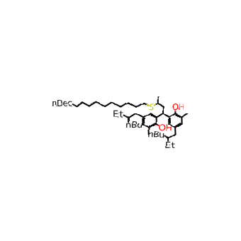 CCCCCCCCCCCCCCCCCCCCSC(C)CC(c1cc(CC(CC)CCCC)cc(C)c1O)c1cc(CC(CC)CCCC)cc(C)c1O